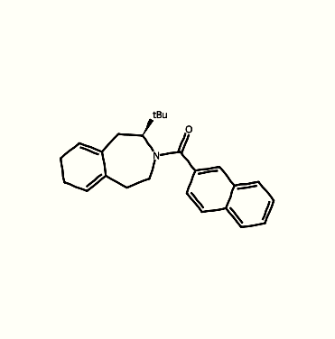 CC(C)(C)[C@@H]1CC2=CCCC=C2CCN1C(=O)c1ccc2ccccc2c1